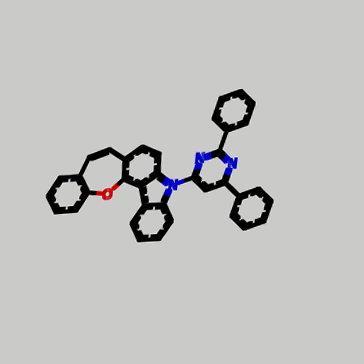 C1=Cc2ccc3c(c2Oc2ccccc21)c1ccccc1n3-c1cc(-c2ccccc2)nc(-c2ccccc2)n1